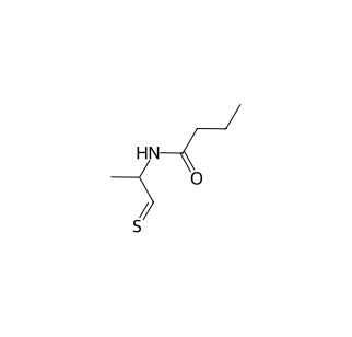 CCCC(=O)NC(C)C=S